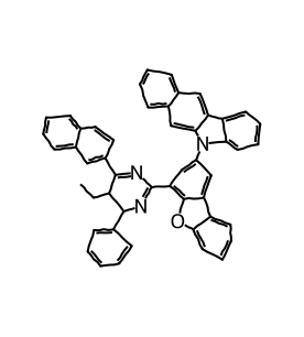 CCC1C(c2ccc3ccccc3c2)=NC(c2cc(-n3c4ccccc4c4cc5ccccc5cc43)cc3c2oc2ccccc23)=NC1c1ccccc1